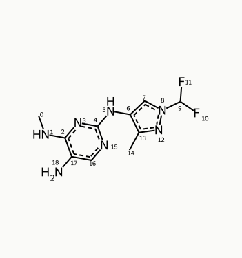 CNc1nc(Nc2cn(C(F)F)nc2C)ncc1N